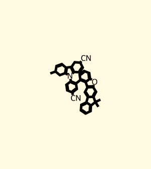 CC1C=Cc2c3c(n(-c4ccc(C#N)cc4-c4cccc5oc6cc7c(cc6c45)-c4ccccc4C7(C)C)c2C1)C=CC(C#N)C3